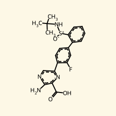 CC(C)(C)N[S+]([O-])c1ccccc1-c1ccc(-c2cnc(N)c(C(=O)O)n2)c(F)c1